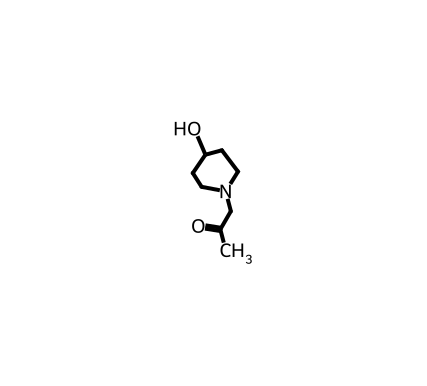 CC(=O)CN1CCC(O)CC1